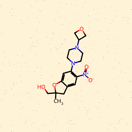 CC1(CO)Cc2cc([N+](=O)[O-])c(N3CCN(C4COC4)CC3)cc2O1